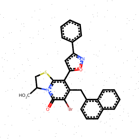 O=C(O)C1CSc2c(-c3cc(-c4ccccc4)no3)c(Cc3cccc4ccccc34)c(Br)c(=O)n21